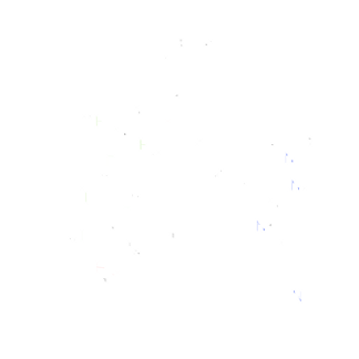 CNCCNc1nn(C)c2cc(-c3cccc(F)c3OCC(F)(F)F)ccc12.O=C(O)C(F)(F)F